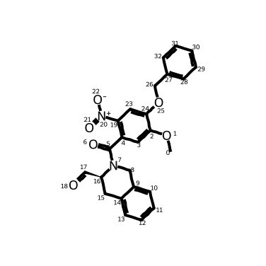 COc1cc(C(=O)N2Cc3ccccc3C[C@H]2C=O)c([N+](=O)[O-])cc1OCc1ccccc1